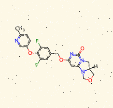 Cc1ccc(Oc2c(F)cc(COc3cc4n(c(=O)n3)C[C@@H]3COCN43)cc2F)cn1